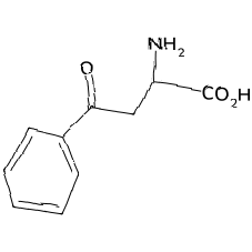 NC(CC(=O)c1ccccc1)C(=O)O